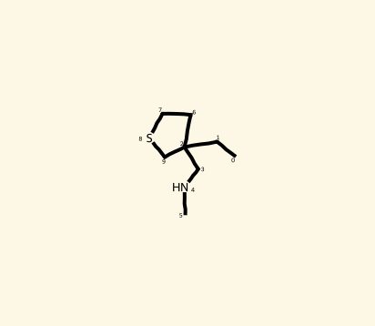 CCC1(CNC)CCSC1